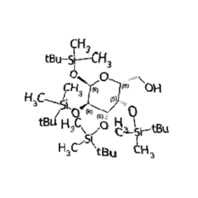 CC(C)(C)[Si](C)(C)O[C@H]1O[C@H](CO)[C@H](O[Si](C)(C)C(C)(C)C)[C@H](O[Si](C)(C)C(C)(C)C)[C@H]1O[Si](C)(C)C(C)(C)C